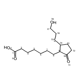 O=C(O)CCCCCCC1C(=O)CCC1SCCO